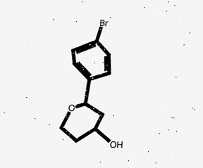 OC1CCOC(c2ccc(Br)cc2)C1